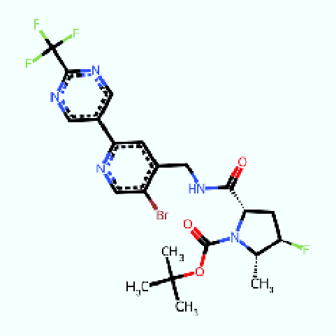 C[C@H]1[C@H](F)C[C@@H](C(=O)NCc2cc(-c3cnc(C(F)(F)F)nc3)ncc2Br)N1C(=O)OC(C)(C)C